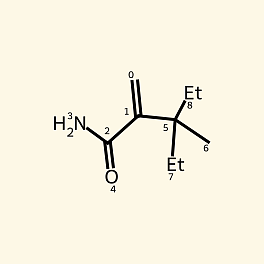 C=C(C(N)=O)C(C)(CC)CC